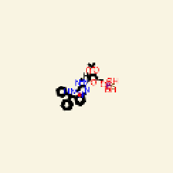 CC1(C)OC2[C@@H](COP(O)(O)=S)O[C@@H](n3cnc4c(NC(c5ccccc5)(c5ccccc5)c5ccccc5)ncnc43)[C@H]2O1